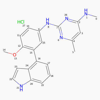 CNc1cc(C)nc(Nc2ccc(OC)c(-c3cccc4[nH]ccc34)c2)n1.Cl